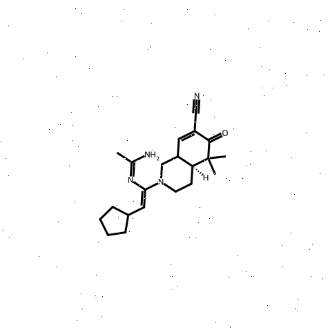 C/C(N)=N/C(=C\C1CCCC1)N1CC[C@H]2C(C=C(C#N)C(=O)C2(C)C)C1